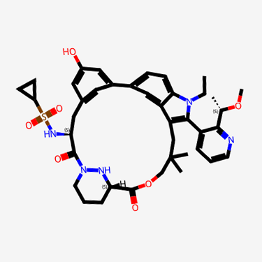 CCn1c(-c2cccnc2[C@H](C)OC)c2c3cc(ccc31)-c1cc(O)cc(c1)C[C@H](NS(=O)(=O)C1CC1)C(=O)N1CCC[C@H](N1)C(=O)OCC(C)(C)C2